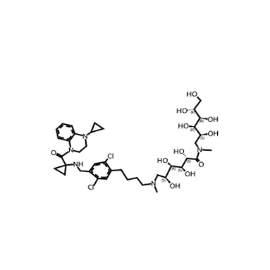 CN(CCCCc1cc(Cl)c(CNC2(C(=O)N3CCN(C4CC4)c4ccccc43)CC2)cc1Cl)C[C@H](O)[C@@H](O)[C@H](O)[C@H](O)C(=O)N(C)C[C@H](O)[C@@H](O)[C@H](O)[C@H](O)CO